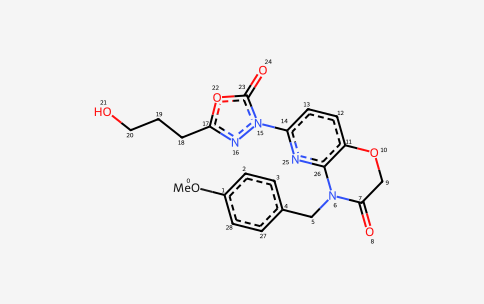 COc1ccc(CN2C(=O)COc3ccc(-n4nc(CCCO)oc4=O)nc32)cc1